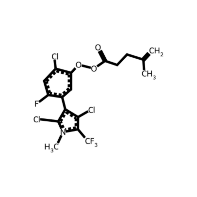 C=C(C)CCC(=O)OOc1cc(-c2c(Cl)c(C(F)(F)F)n(C)c2Cl)c(F)cc1Cl